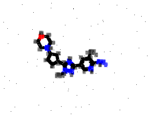 CC(C)n1nc(-c2cnc(N)c(C(F)(F)F)c2)nc1C1CCC(N2CCOCC2)C1